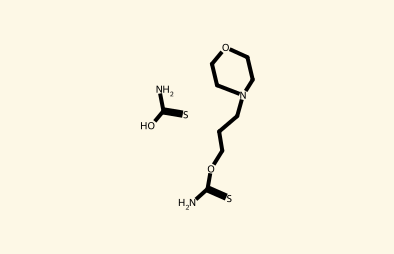 NC(=S)OCCCN1CCOCC1.NC(O)=S